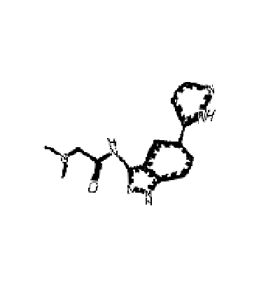 CN(C)CC(=O)Nc1n[nH]c2ccc(-c3ccn[nH]3)cc12